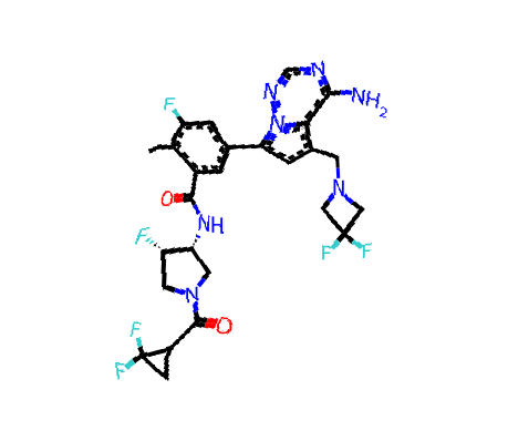 Cc1c(F)cc(-c2cc(CN3CC(F)(F)C3)c3c(N)ncnn23)cc1C(=O)N[C@@H]1CN(C(=O)C2CC2(F)F)C[C@@H]1F